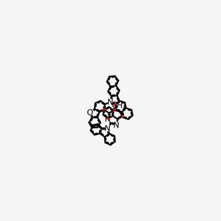 CC1C/C=C(c2ccccc2)/N=C(n2c3ccccc3c3ccccc32)\N=C/1c1c(-n2c3cc4ccccc4cc3c3cc4ccccc4cc32)ccc2oc3ccccc3c12